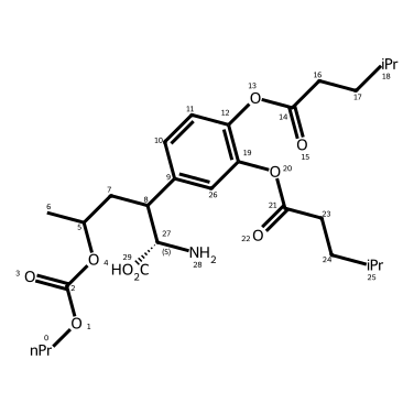 CCCOC(=O)OC(C)CC(c1ccc(OC(=O)CCC(C)C)c(OC(=O)CCC(C)C)c1)[C@H](N)C(=O)O